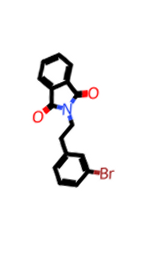 O=C1c2ccccc2C(=O)N1CCc1cccc(Br)c1